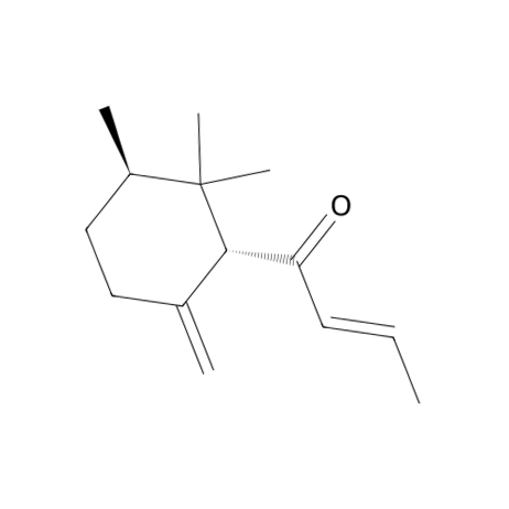 C=C1CC[C@@H](C)C(C)(C)[C@@H]1C(=O)C=CC